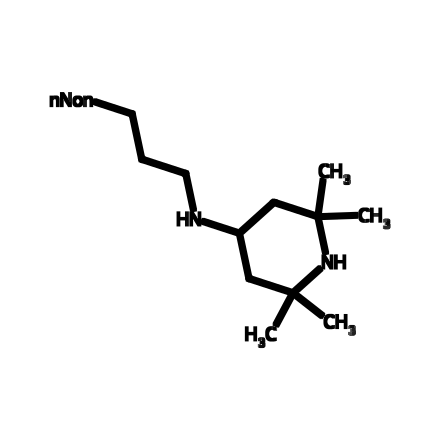 CCCCCCCCCCCCNC1CC(C)(C)NC(C)(C)C1